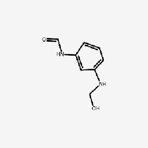 O=CNc1cccc(NCO)c1